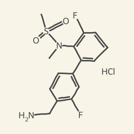 CN(c1c(F)cccc1-c1ccc(CN)c(F)c1)S(C)(=O)=O.Cl